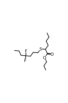 CCCCC(SCCCC(F)(F)CCC)C(=O)OCCC